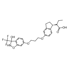 CCC(C(=O)O)[C@@H]1CCc2cc(OCCCOc3ccc4c(c3)ONC4(O)C(F)(F)F)ccc21